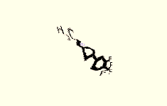 C/C=C/C1CCC(c2ccc(C(F)(F)F)c(F)c2)CC1